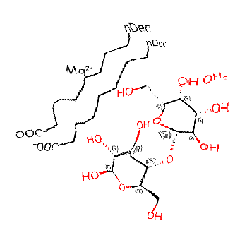 CCCCCCCCCCCCCCCCCC(=O)[O-].CCCCCCCCCCCCCCCCCC(=O)[O-].O.OC[C@H]1O[C@@H](O[C@H]2[C@H](O)[C@@H](O)[C@H](O)O[C@@H]2CO)[C@H](O)[C@@H](O)[C@H]1O.[Mg+2]